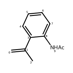 C=C(C)c1ccccc1NC(C)=O